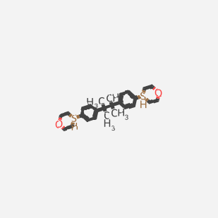 CC(C)(c1ccc([SH]2CCOCC2)cc1)C(C)(C)c1ccc([SH]2CCOCC2)cc1